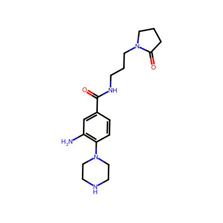 Nc1cc(C(=O)NCCCN2CCCC2=O)ccc1N1CCNCC1